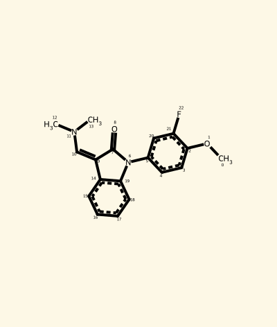 COc1ccc(N2C(=O)C(=CN(C)C)c3ccccc32)cc1F